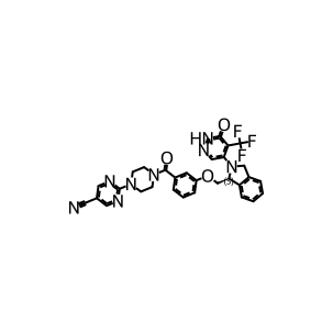 N#Cc1cnc(N2CCN(C(=O)c3cccc(OC[C@@H]4c5ccccc5CN4c4cn[nH]c(=O)c4C(F)(F)F)c3)CC2)nc1